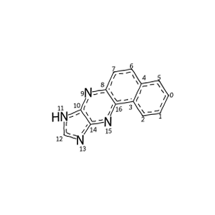 c1ccc2c(c1)ccc1nc3[nH]cnc3nc12